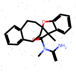 C=C(N)N(C)C(=O)C1(C)c2ccccc2OC12CCc1ccccc1CC2